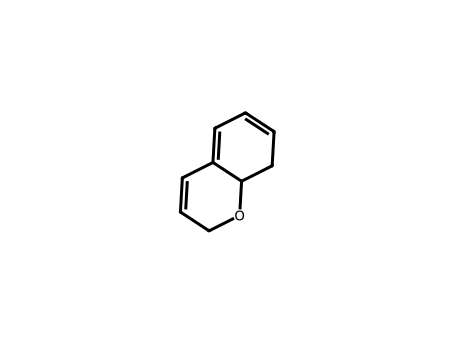 C1=CCC2OCC=CC2=C1